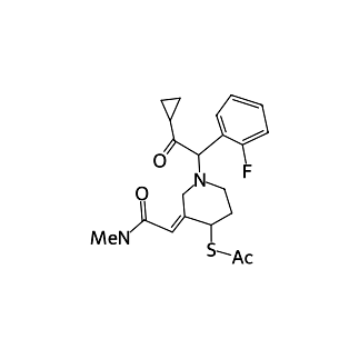 CNC(=O)/C=C1\CN(C(C(=O)C2CC2)c2ccccc2F)CCC1SC(C)=O